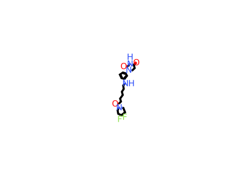 O=C1CCN(c2cccc(NCCCCCCC(=O)N3CCC(F)(F)CC3)c2)C(=O)N1